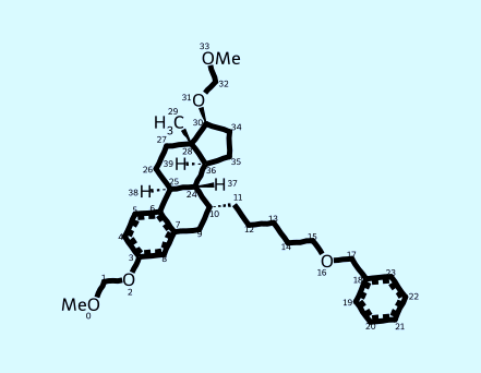 COCOc1ccc2c(c1)C[C@@H](CCCCCOCc1ccccc1)[C@@H]1[C@@H]2CC[C@]2(C)[C@@H](OCOC)CC[C@@H]12